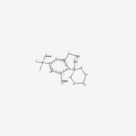 CCCCCCC(C)(C)c1cc(CO)c(C2(O)CCCCC2)c(OC)c1